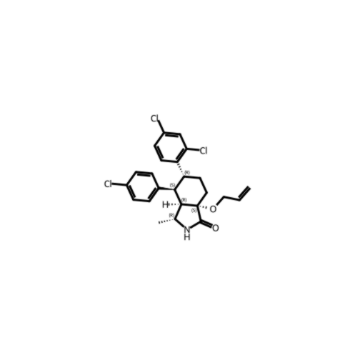 C=CCO[C@@]12CC[C@@H](c3ccc(Cl)cc3Cl)[C@H](c3ccc(Cl)cc3)[C@@H]1[C@@H](C)NC2=O